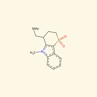 CNCC1CCS(=O)(=O)c2c1n(C)c1ccccc21